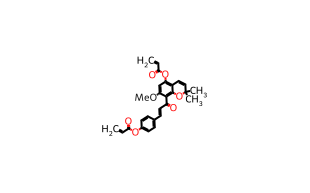 C=CC(=O)Oc1ccc(C=CC(=O)c2c(OC)cc(OC(=O)C=C)c3c2OC(C)(C)C=C3)cc1